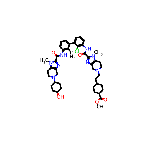 COC(=O)C1CCC(CCN2CCc3c(nc(C(=O)Nc4cccc(-c5cccc(NC(=O)c6nc7c(n6C)CCN(C6CCC(O)CC6)C7)c5C)c4Cl)n3C)C2)CC1